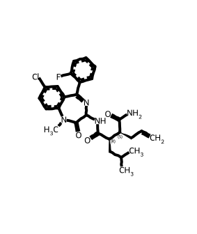 C=CC[C@H](C(N)=O)[C@@H](CC(C)C)C(=O)NC1N=C(c2ccccc2F)c2cc(Cl)ccc2N(C)C1=O